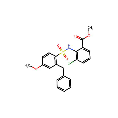 COC(=O)c1cccc(Cl)c1NS(=O)(=O)c1ccc(OC)cc1Cc1ccccc1